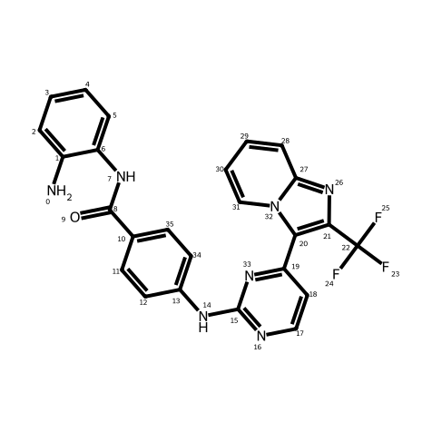 Nc1ccccc1NC(=O)c1ccc(Nc2nccc(-c3c(C(F)(F)F)nc4ccccn34)n2)cc1